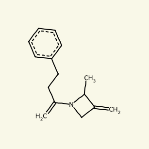 C=C1CN(C(=C)CCc2ccccc2)C1C